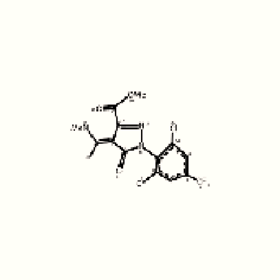 CNC(C)=C1C(=O)N(c2c(Cl)cc(C(F)(F)F)cc2Cl)N=C1C(=O)OC